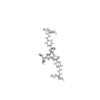 [C-]#[N+]C(C#N)=C1Sc2c(OC(=O)C3CCC(CCCC(C)C)CC3)ccc(OC(=O)C3CCC(CCCC(C)C)CC3)c2S1